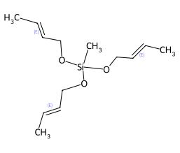 C/C=C/CO[Si](C)(OC/C=C/C)OC/C=C/C